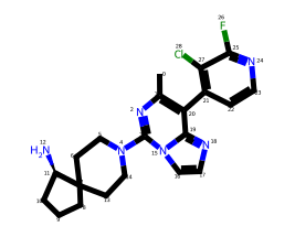 Cc1nc(N2CCC3(CCC[C@H]3N)CC2)n2ccnc2c1-c1ccnc(F)c1Cl